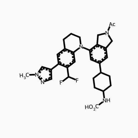 CC(=O)N1Cc2cc(C3CCC(NC(=O)O)CC3)cc(N3CCCc4cc(-c5cnn(C)c5)c(C(F)F)cc43)c2C1